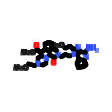 COCCc1nc2c(N)nc3ccccc3c2n1CCCN(Cc1cccc(CC(=O)OC)c1)C(=O)CN1CCN(CCOC)CC1